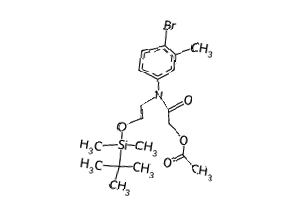 CC(=O)OCC(=O)N(CCO[Si](C)(C)C(C)(C)C)c1ccc(Br)c(C)c1